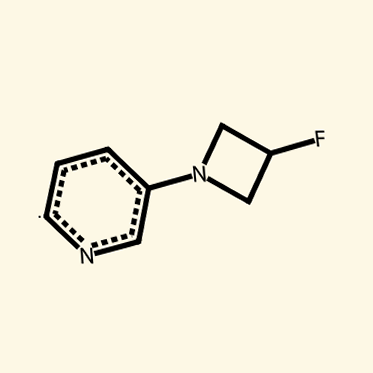 FC1CN(c2cc[c]nc2)C1